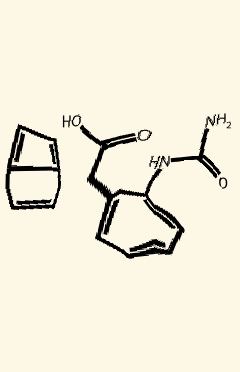 NC(=O)Nc1ccccc1CC(=O)O.c1cc2ccc1-2